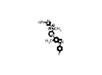 CCCn1cc(S(=O)(=O)N(C)C2CCCN(c3cc4cnn(-c5ccc(F)cc5)c4cc3C)C2)cn1